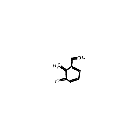 C=CC1=CC=CC(=N)C1=C